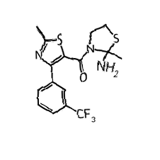 Cc1nc(-c2cccc(C(F)(F)F)c2)c(C(=O)N2CCSC2(C)N)s1